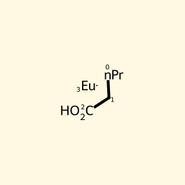 CCCCC(=O)O.[Eu]